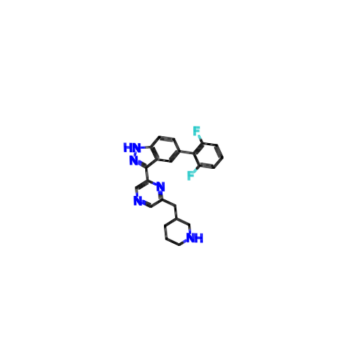 Fc1cccc(F)c1-c1ccc2[nH]nc(-c3cncc(CC4CCCNC4)n3)c2c1